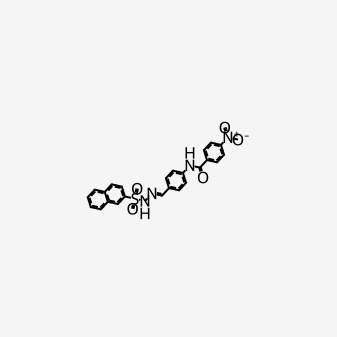 O=C(Nc1ccc(/C=N/NS(=O)(=O)c2ccc3ccccc3c2)cc1)c1ccc([N+](=O)[O-])cc1